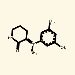 Cc1cc(C)cc([N+](N)=C2CCCNC2=O)c1